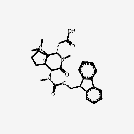 CN(C)C(=O)[C@H](CC(=O)O)N(C)C(=O)[C@H](C1CCCC1)N(C)C(=O)OCC1c2ccccc2-c2ccccc21